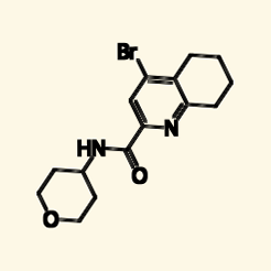 O=C(NC1CCOCC1)c1cc(Br)c2c(n1)CCCC2